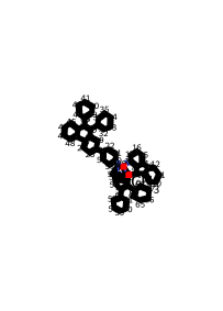 CC1(c2ccccc2)c2ccccc2-c2cccc(N(c3ccc(-c4ccc5c(c4)c(-c4ccccc4)c(-c4ccccc4)c4ccccc45)cc3)c3ccc(-c4ccccc4)c(-c4ccccc4)c3)c21